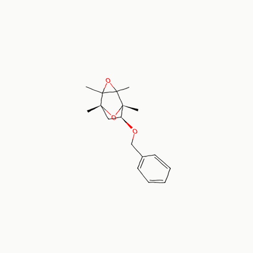 CC12OC1(C)[C@@]1(C)O[C@]2(C)C[C@@H]1OCc1ccccc1